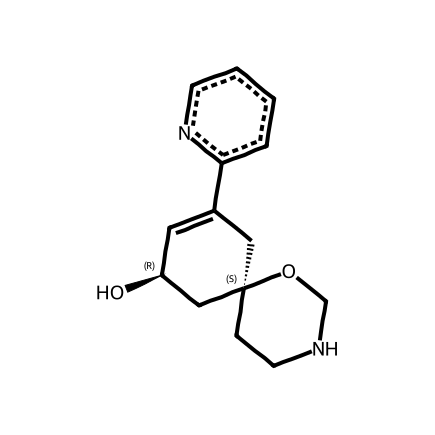 O[C@H]1C=C(c2ccccn2)C[C@]2(CCNCO2)C1